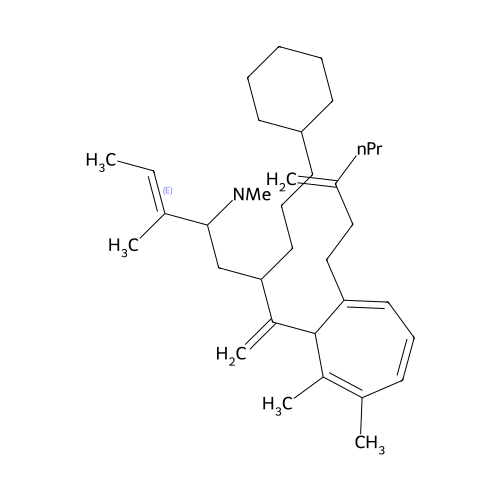 C=C(CCC)CCC1=CC=CC(C)=C(C)C1C(=C)C(CCCC1CCCCC1)CC(NC)/C(C)=C/C